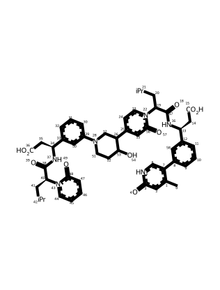 Cc1cc(=O)[nH]cc1-c1cccc([C@H](CC(=O)O)NC(=O)C(CC(C)C)n2ccc(C3CN(c4cccc([C@H](CC(=O)O)NC(=O)[C@H](CC(C)C)n5ccccc5=O)c4)CCC3O)cc2=O)c1